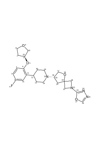 Fc1ccc(O[C@H]2CCOC2)c(C2CCN([C@@H]3COC4(C3)CN(c3nnco3)C4)CC2)c1